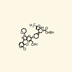 CC(=O)OCc1nc2c(-c3ccnc(Cl)c3Cl)nn(C3CCCCO3)c2nc1N1CCC2C(C1)C2(CNC(=O)OC(C)(C)C)c1cc(C)on1